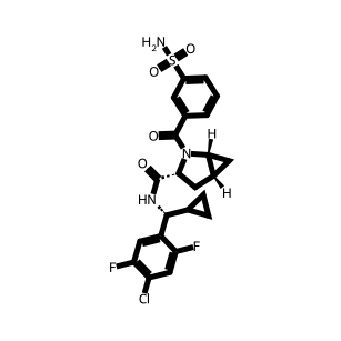 NS(=O)(=O)c1cccc(C(=O)N2[C@@H](C(=O)N[C@@H](c3cc(F)c(Cl)cc3F)C3CC3)C[C@H]3C[C@H]32)c1